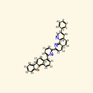 c1ccc(-c2cnc3c(ccc4ccc(-c5cccc(-c6cccc7c6ccc6c8ccccc8sc76)n5)nc43)c2)cc1